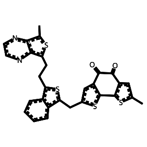 Cc1cc2c(s1)-c1sc(Cc3sc(CCc4sc(C)c5nccnc45)c4ccccc34)cc1C(=O)C2=O